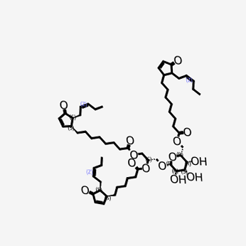 CC/C=C\CC1C(=O)C=CC1CCCCCCCC(=O)OC[C@H]1O[C@@H](OC[C@@H](COC(=O)CCCCCCC[C@H]2C=CC(=O)[C@H]2C/C=C\CC)OC(=O)CCCCC[C@H]2C=CC(=O)[C@H]2C/C=C\CC)[C@H](O)[C@@H](O)[C@H]1O